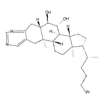 CC(C)CCC[C@@H](C)[C@H]1CC[C@H]2[C@@H]3[C@@H](O)[C@H](O)[C@H]4Cc5ncncc5C[C@]4(C)[C@H]3CC[C@]12C